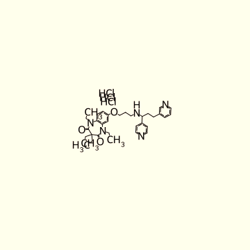 CCN1C(=O)C(CC)(CC)C(=O)N(CC)c2cc(OCCCNC(CCc3cccnc3)c3ccncc3)ccc21.Cl.Cl.Cl